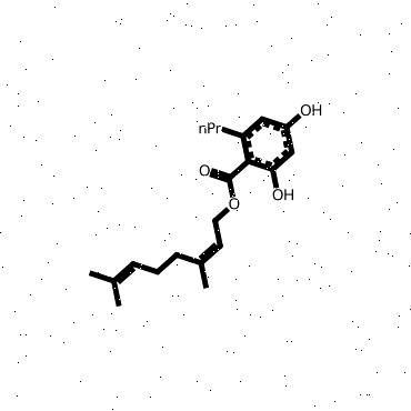 CCCc1cc(O)cc(O)c1C(=O)OCC=C(C)CCC=C(C)C